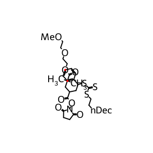 CCCCCCCCCCCCSC(=S)SC(CC(CC(C)(C)C(=O)OCCOCCOC)C(=O)ON1C(=O)CCC1=O)c1ccccc1